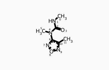 CNC(=O)N(C)c1nonc1C